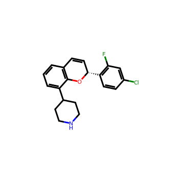 Fc1cc(Cl)ccc1[C@H]1C=Cc2cccc(C3CCNCC3)c2O1